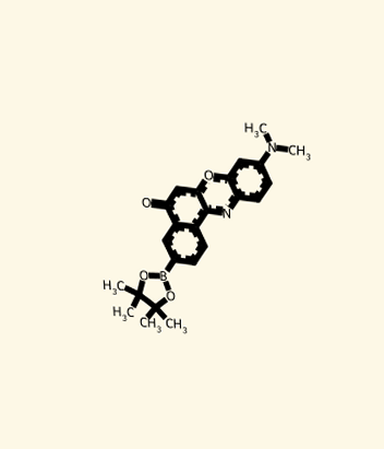 CN(C)c1ccc2nc3c4ccc(B5OC(C)(C)C(C)(C)O5)cc4c(=O)cc-3oc2c1